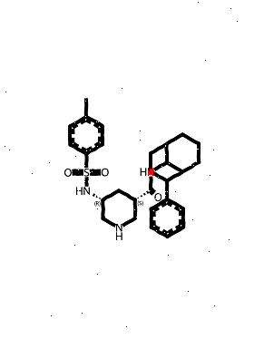 Cc1ccc(S(=O)(=O)N[C@H]2CNC[C@@H](C(=O)NC3C4CCCC3C(c3ccccc3)CC4)C2)cc1